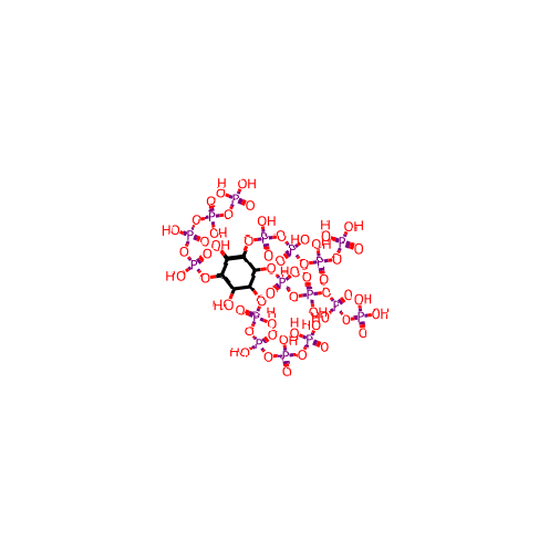 O=P(O)(O)OP(=O)(O)OP(=O)(O)OP(=O)(O)OC1C(O)C(OP(=O)(O)OP(=O)(O)OP(=O)(O)OP(=O)(O)O)C(OP(=O)(O)OP(=O)(O)OP(=O)(O)OP(=O)(O)O)C(OP(=O)(O)OP(=O)(O)OP(=O)(O)OP(=O)(O)O)C1O